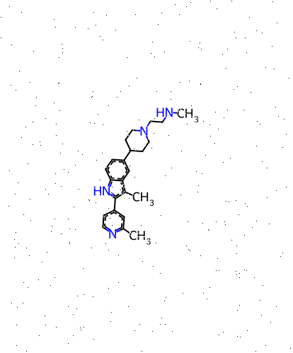 CNCCN1CCC(c2ccc3[nH]c(-c4ccnc(C)c4)c(C)c3c2)CC1